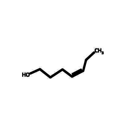 CC/C=C\CCCO